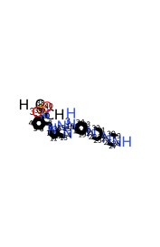 CN(c1ccccc1Cn1ccc2cnc(Nc3ccc(N4CCC(N5CCNCC5)CC4)cc3)nc21)S(C)(=O)=O